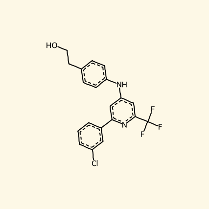 OCCc1ccc(Nc2cc(-c3cccc(Cl)c3)nc(C(F)(F)F)c2)cc1